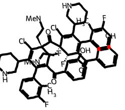 CNCC[C@]1(C(=O)[C@@]2(CCNC)C(Cl)=C(C3CCCNC3)C(c3cccc(F)c3C)=C(C(=O)c3cccc(O)c3)[C@@H]2F)C(Cl)=C(C2CCCNC2)C(c2cccc(F)c2C)=C(C(=O)c2cccc(O)c2)[C@@H]1F